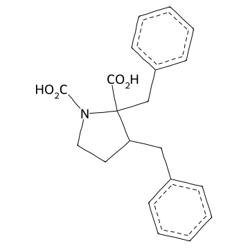 O=C(O)N1CCC(Cc2ccccc2)C1(Cc1ccccc1)C(=O)O